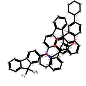 CC1(C)c2ccccc2-c2ccc(N(c3ccc4c(c3)C3(c5cc(C6CCCCC6)ccc5Oc5ccc(C6CCCCC6)cc53)c3ccccc3-4)c3ccccc3-c3cccc4ccccc34)cc21